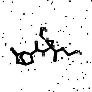 C=C[C@@H]1C[C@]1(NC(=O)C1CC2CC1C(=O)O2)C(=O)OCC